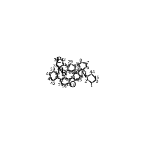 c1ccc(-n2c3ccccc3c3cc4c(cc32)oc2ccc3c(c24)B2c4ccccc4-c4ccccc4N2c2ccccc2-3)cc1